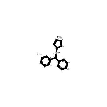 C1=C[CH]([Zr+2]=[C](c2ccccc2)c2ccccc2)C=C1.[Cl-].[Cl-]